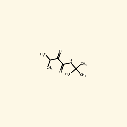 CC(C)C(=O)C(=O)NC(C)(C)C